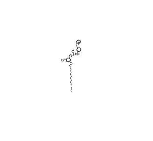 CCCCCCCCCCCCCCOc1cccc(OCC(=O)Nc2cccc(C[n+]3ccsc3)c2)c1.[Br-]